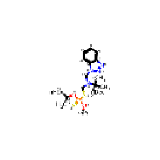 CCCCCCCCCCC(C)(C)N(CSP(=S)(OC(C)C)OC(C)CCCCCC)Cn1nnc2ccccc21